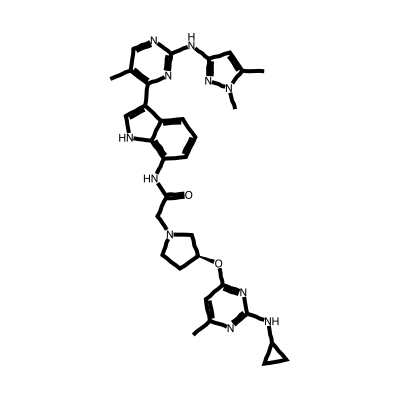 Cc1cc(O[C@H]2CCN(CC(=O)Nc3cccc4c(-c5nc(Nc6cc(C)n(C)n6)ncc5C)c[nH]c34)C2)nc(NC2CC2)n1